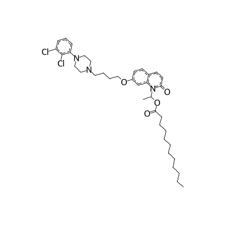 CCCCCCCCCCCC(=O)OC(C)n1c(=O)ccc2ccc(OCCCCN3CCN(c4cccc(Cl)c4Cl)CC3)cc21